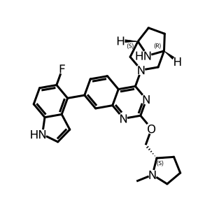 CN1CCC[C@H]1COc1nc(N2C[C@H]3CC[C@@H](C2)N3)c2ccc(-c3c(F)ccc4[nH]ccc34)cc2n1